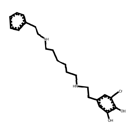 Oc1cc(CCNCCCCCCNCCc2ccccc2)cc(Cl)c1O